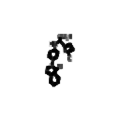 O=C(O)C(Nc1ccc(-n2ccc3ccccc3c2=O)cc1)c1ccc(Cl)s1